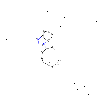 c1ccc2c(c1)nnn2C1CCCCCCCCCC1